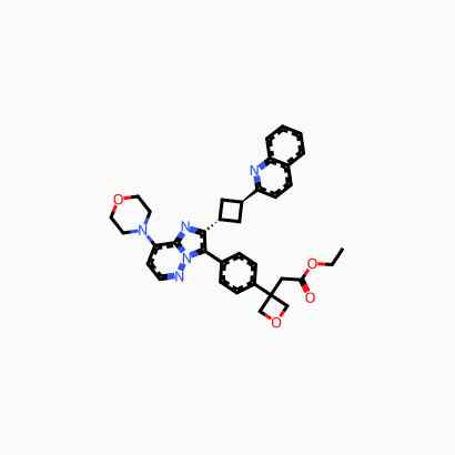 CCOC(=O)CC1(c2ccc(-c3c([C@H]4C[C@H](c5ccc6ccccc6n5)C4)nc4c(N5CCOCC5)ccnn34)cc2)COC1